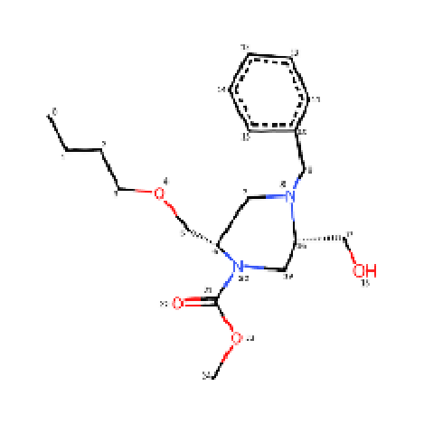 CCCCOC[C@@H]1CN(Cc2ccccc2)[C@H](CO)CN1C(=O)OC